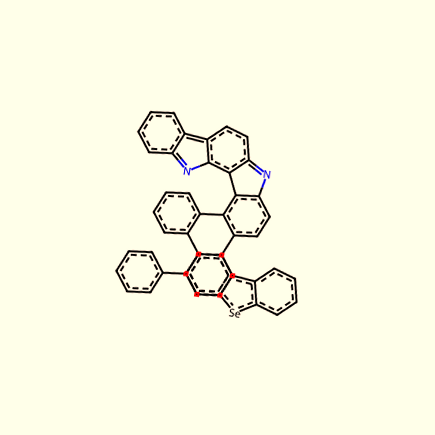 c1ccc(-c2ccccc2-c2ccccc2-c2c(-c3cccc4[se]c5ccccc5c34)ccc3c2-c2c4c(ccc2=N3)=c2ccccc2=N4)cc1